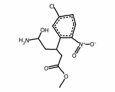 COC(=O)CC(CC(N)O)c1cc(Cl)ccc1[N+](=O)[O-]